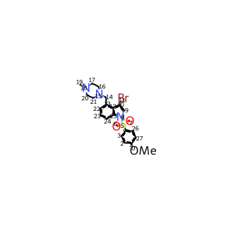 COc1ccc(S(=O)(=O)n2cc(Br)c3c(CN4CCN(C)CC4)cccc32)cc1